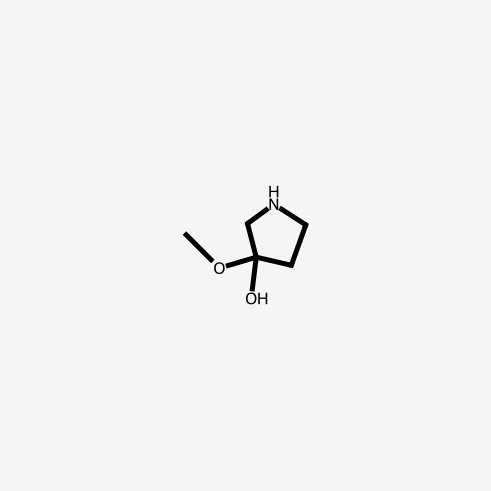 COC1(O)CCNC1